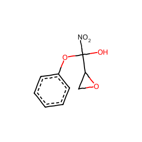 O=[N+]([O-])C(O)(Oc1ccccc1)C1CO1